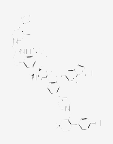 CC1CN(CC2COc3cc(S(=O)(=O)NC(=O)c4ccc(N5CCN(CC6=C(c7ccc(Cl)cc7)CCC(C)(C)C6)CC5)cc4Oc4cnc5[nH]ccc5c4)cc([N+](=O)[O-])c3N2)CCN1C1COC1